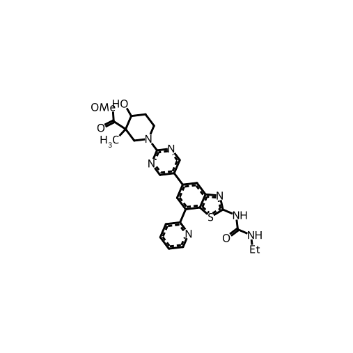 CCNC(=O)Nc1nc2cc(-c3cnc(N4CCC(O)C(C)(C(=O)OC)C4)nc3)cc(-c3ccccn3)c2s1